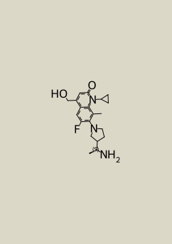 Cc1c(N2CCC([C@H](C)N)C2)c(F)cc2c(CO)cc(=O)n(C3CC3)c12